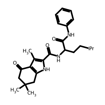 Cc1c(C(=O)NC(CCC(C)C)C(=O)Nc2ccccc2)[nH]c2c1C(=O)CC(C)(C)C2